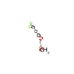 COCCCCCCOc1ccc(-c2ccc(-c3ccc(F)c(F)c3)cc2)cc1